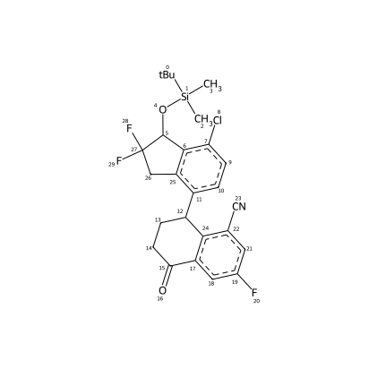 CC(C)(C)[Si](C)(C)OC1c2c(Cl)ccc(C3CCC(=O)c4cc(F)cc(C#N)c43)c2CC1(F)F